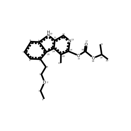 CCOCCc1cccc2[nH]c3cnc(OC(=O)OC(C)C)c(C)c3c12